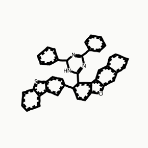 c1ccc(C2=NC(c3ccccc3)NC(c3c(-c4ccc5sc6ccccc6c5c4)ccc4oc5cc6ccccc6cc5c34)=N2)cc1